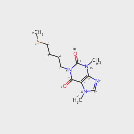 CSCCCCn1c(=O)c2c(ncn2C)n(C)c1=O